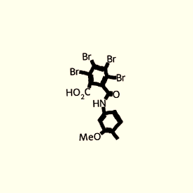 COc1cc(NC(=O)c2c(Br)c(Br)c(Br)c(Br)c2C(=O)O)ccc1C